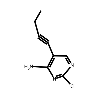 CCC#Cc1cnc(Cl)nc1N